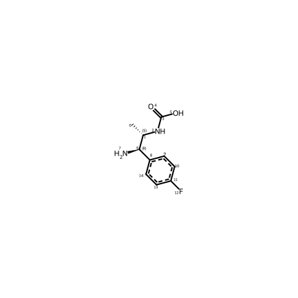 C[C@H](NC(=O)O)[C@H](N)c1ccc(F)cc1